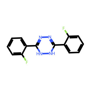 Fc1ccccc1C1=NN=C(c2ccccc2F)NN1